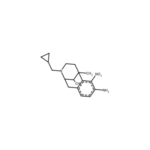 CC1C2Cc3ccc(N)c([N+](=O)[O-])c3C1(C)CCN2CC1CC1